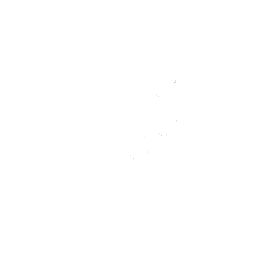 N=C(N)C1CCCCN1CNC(=O)[C@@H]1CCCN1C(=O)CC(c1ccccc1)c1ccccc1